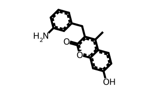 Cc1c(Cc2cccc(N)c2)c(=O)oc2cc(O)ccc12